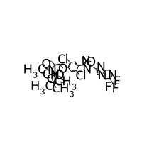 CC(C)(C)OC(=O)N1C(COc2cc(Cl)c(-c3noc(-c4cn5cc(C(F)(F)F)ncc5n4)n3)cc2Cl)COC1(C)C